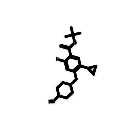 CC(C)(C)OC(=O)c1cc(C2CC2)c(CN2CCC(O)CC2)cc1F